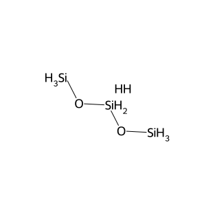 [HH].[SiH3]O[SiH2]O[SiH3]